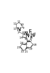 FC(F)(F)n1nc(CN2CCCCC2)cc1-c1cccc2ccccc12